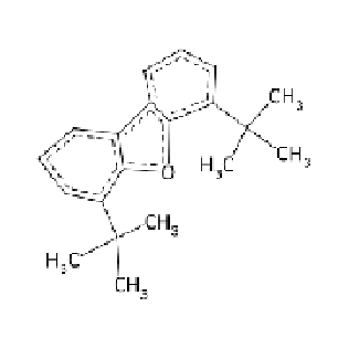 CC(C)(C)c1cccc2c1oc1c(C(C)(C)C)cccc12